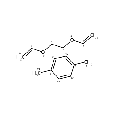 C=COCCOC=C.Cc1ccc(C)cc1